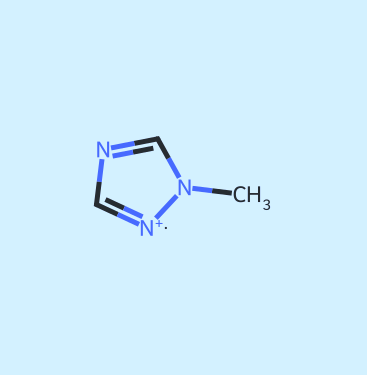 CN1C=NC=[N+]1